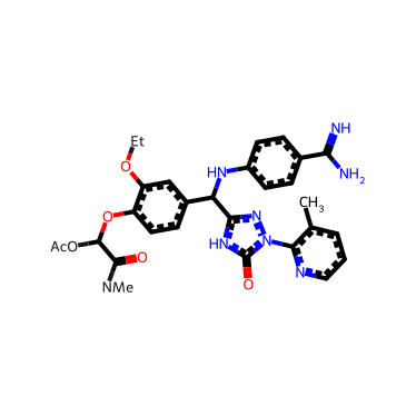 CCOc1cc(C(Nc2ccc(C(=N)N)cc2)c2nn(-c3ncccc3C)c(=O)[nH]2)ccc1OC(OC(C)=O)C(=O)NC